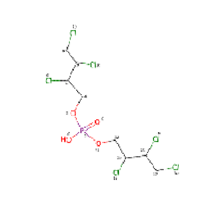 O=P(O)(OCC(Cl)C(Cl)CCl)OCC(Cl)C(Cl)CCl